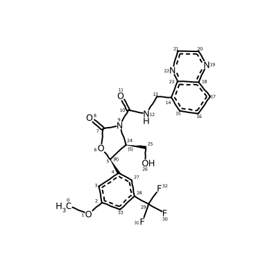 COc1cc([C@H]2OC(=O)N(C(=O)NCc3cccc4nccnc34)[C@H]2CO)cc(C(F)(F)F)c1